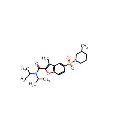 Cc1c(C(=O)N(C(C)C)C(C)C)oc2ccc(S(=O)(=O)N3CCCC(C)C3)cc12